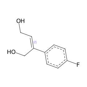 OC/C=C(\CO)c1ccc(F)cc1